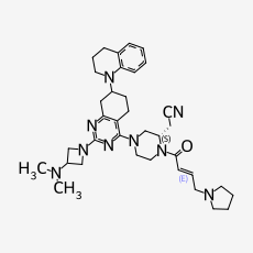 CN(C)C1CN(c2nc3c(c(N4CCN(C(=O)/C=C/CN5CCCC5)[C@@H](CC#N)C4)n2)CCC(N2CCCc4ccccc42)C3)C1